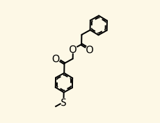 CSc1ccc(C(=O)COC(=O)Cc2ccccc2)cc1